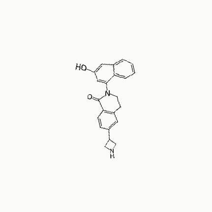 O=C1c2ccc(C3CNC3)cc2CCN1c1cc(O)cc2ccccc12